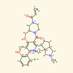 C=CC(=O)N1CCN2C(=O)c3c(C4CCC5CN(C)CC54C)nc(-c4c(O)cccc4F)c(Cl)c3OCC2C1